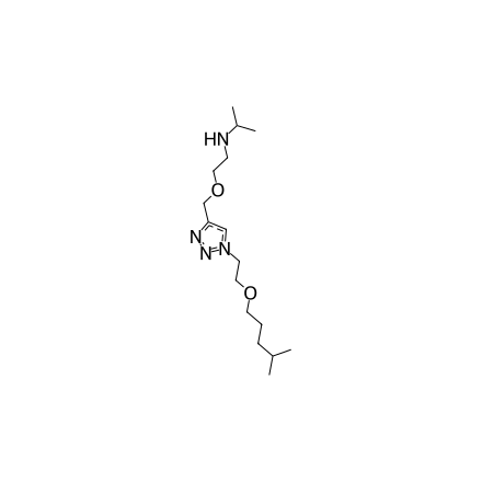 CC(C)CCCOCCn1cc(COCCNC(C)C)nn1